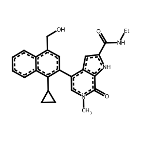 CCNC(=O)c1cc2c(-c3cc(CO)c4ccccc4c3C3CC3)cn(C)c(=O)c2[nH]1